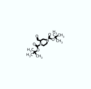 CC(C)(C)OC(=O)N1CCN(C(=O)OC(C)(C)C)C(C=O)C1